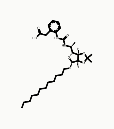 CCCCCCCCCCCCO[C@H]1O[C@H]([C@H](C)NC(=O)Nc2ccccc2CC(=O)O)[C@@H]2OC(C)(C)O[C@H]12